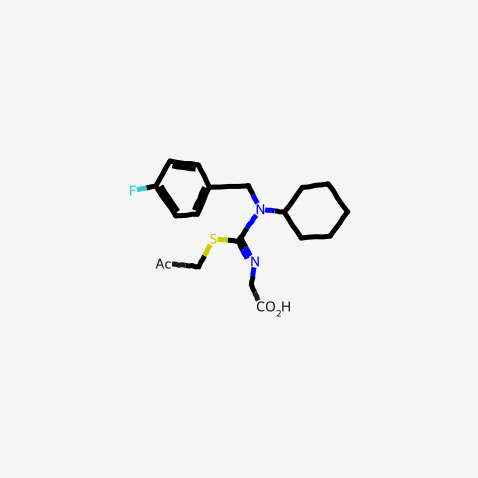 CC(=O)CS/C(=N\CC(=O)O)N(Cc1ccc(F)cc1)C1CCCCC1